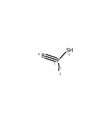 B#P(F)S